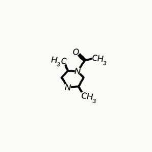 CC(=O)N1CC(C)[N]CC1C